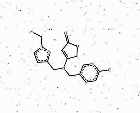 CC(C)Cn1ccc(CN(Cc2ccc(Cl)nc2)C2=CC(=O)OC2)n1